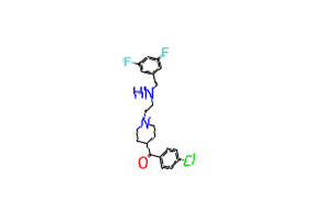 O=C(c1ccc(Cl)cc1)C1CCN(CCNCc2cc(F)cc(F)c2)CC1